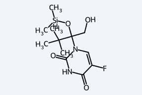 C[SiH](C)OC(CO)(n1cc(F)c(=O)[nH]c1=O)C(C)(C)C